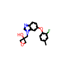 Cc1ccc(Oc2ccc3ncn(CC4(O)COC4)c3c2)c(F)c1